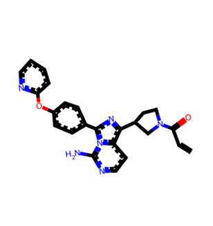 C=CC(=O)N1CCC(c2nc(-c3ccc(Oc4ccccn4)cc3)n3c(N)nccc23)C1